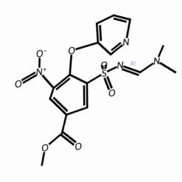 COC(=O)c1cc([N+](=O)[O-])c(Oc2cccnc2)c(S(=O)(=O)/N=C/N(C)C)c1